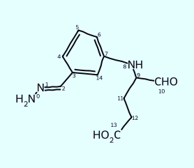 NN=Cc1cccc(NC(C=O)CCC(=O)O)c1